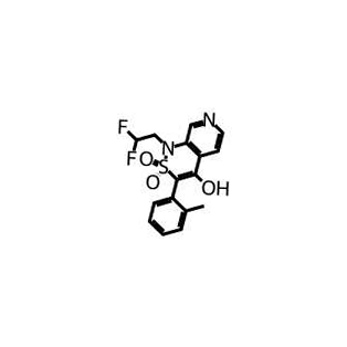 Cc1ccccc1C1=C(O)c2ccncc2N(CC(F)F)S1(=O)=O